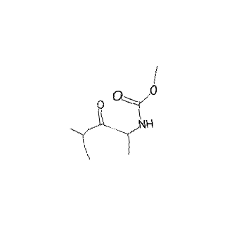 COC(=O)NC(C)C(=O)C(C)C